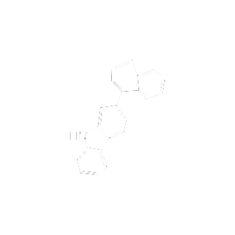 c1ccc2c(-c3ccc4c(c3)[nH]c3ccccc34)cccc2c1